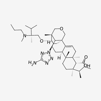 CCCN(C)[C@](C)(CO[C@H]1[C@H](n2nnc(N)n2)C[C@@]23COC[C@]1(C)[C@@H]2CC[C@H]1C3=CC[C@@]2(C)[C@H](C(=O)O)[C@@](C)([C@H](C)C(C)C)CC[C@]12C)C(C)C